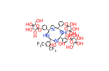 OCC1O[C@@H](Oc2cccc(-c3c4nc(c(-c5cccc(O[C@@H]6OC(CO)[C@H](O)C(O)C6O)c5)c5ccc([nH]5)c(-c5cc(C(F)(F)F)cc(C(F)(F)F)c5)c5nc(c(-c6cccc(O[C@@H]7OC(CO)[C@H](O)C(O)C7O)c6)c6ccc3[nH]6)C(O)C5O)C=C4)c2)C(O)C(O)[C@H]1O